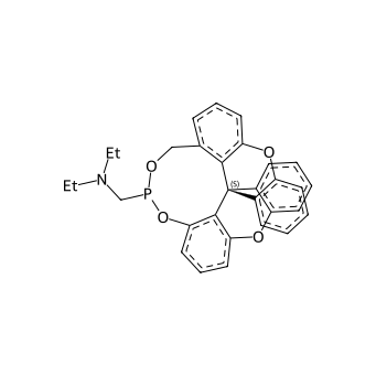 CCN(CC)CP1OCc2cccc3c2[C@]2(c4ccccc4O3)c3ccccc3Oc3cccc(c32)O1